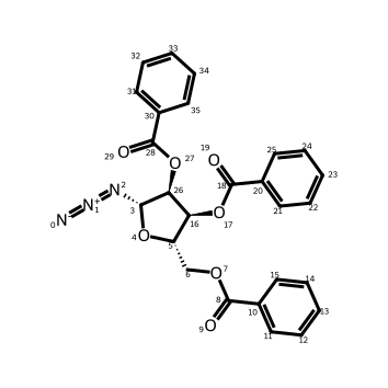 [N-]=[N+]=N[C@H]1O[C@@H](COC(=O)c2ccccc2)[C@H](OC(=O)c2ccccc2)[C@@H]1OC(=O)c1ccccc1